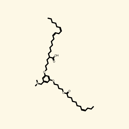 CCC/C=C\CCCCCCC(=O)OCCCCOc1cc(CN(C)C)cc(OCCCCC(CCCCCC/C=C\C/C=C\CCCCC)C(=O)O)c1